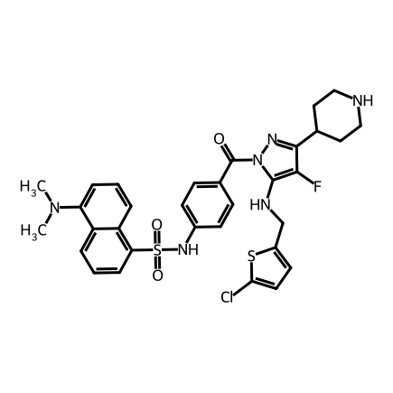 CN(C)c1cccc2c(S(=O)(=O)Nc3ccc(C(=O)n4nc(C5CCNCC5)c(F)c4NCc4ccc(Cl)s4)cc3)cccc12